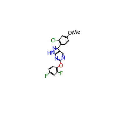 COc1ccc(-c2n[nH]c3nc(Oc4ccc(F)cc4F)ncc23)c(Cl)c1